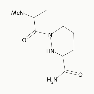 CNC(C)C(=O)N1CCCC(C(N)=O)N1